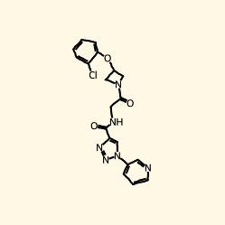 O=C(NCC(=O)N1CC(Oc2ccccc2Cl)C1)c1cn(-c2cccnc2)nn1